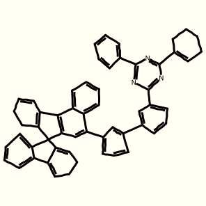 C1=CC2=C(CC1)C1(C3=CCCC=C3c3ccccc31)c1cc(-c3cccc(-c4cccc(-c5nc(C6=CCCCC6)nc(-c6ccccc6)n5)c4)c3)c3ccccc3c12